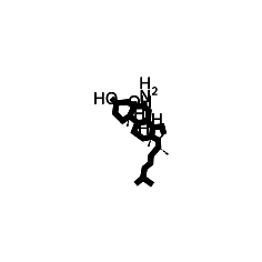 CC(C)CCC[C@@H](C)[C@H]1CC[C@H]2[C@@H]3CC(N)C4(O)CC(O)CC[C@]4(C)[C@H]3CC[C@]12C